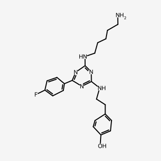 NCCCCCNc1nc(NCCc2ccc(O)cc2)nc(-c2ccc(F)cc2)n1